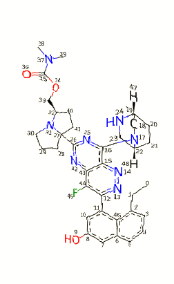 CCc1cccc2cc(O)cc(-c3nnc4c(N5C[C@H]6CC[C@@H]5CN6)nc(C56CCCN5[C@@H](COC(=O)N(C)C)CC6)nc4c3F)c12